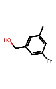 CCc1[c]c(CO)cc(C)c1